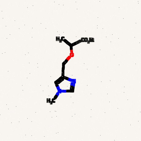 CCOC(=O)C(C)OCc1cn(C)cn1